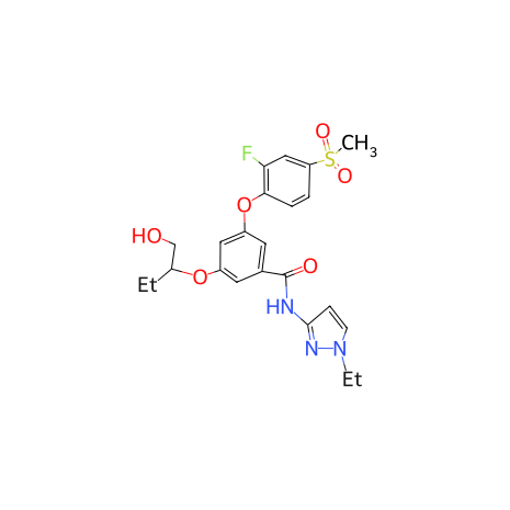 CCC(CO)Oc1cc(Oc2ccc(S(C)(=O)=O)cc2F)cc(C(=O)Nc2ccn(CC)n2)c1